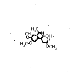 COC(=O)Cc1c(O)nc(C)c2cc(OC)c(OC)cc12